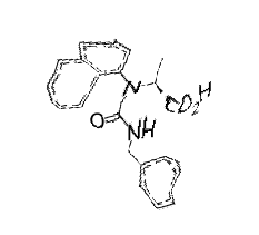 C[C@@H](C(=O)O)N(C(=O)NCc1ccccc1)c1cccc2ccccc12